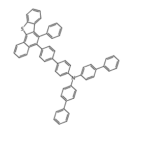 c1ccc(-c2ccc(N(c3ccc(-c4ccccc4)cc3)c3ccc(-c4ccc(-c5c(-c6ccccc6)c6c7ccccc7sc6c6ccccc56)cc4)cc3)cc2)cc1